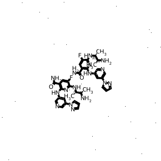 C[C@H](N)[C@@H](C)Nc1nc(Nc2cncc(-n3cccn3)c2)c(C(N)=O)cc1F.C[C@H](Nc1nc(Nc2cncc(-n3cccn3)c2)c(C(N)=O)cc1F)[C@@H](C)N